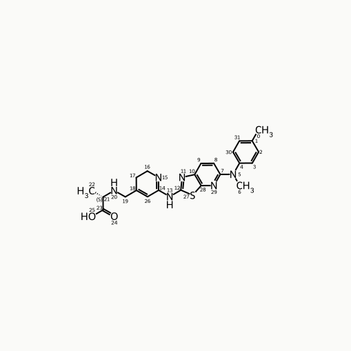 Cc1ccc(N(C)c2ccc3nc(NC4=NCCC(CN[C@@H](C)C(=O)O)=C4)sc3n2)cc1